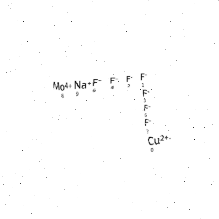 [Cu+2].[F-].[F-].[F-].[F-].[F-].[F-].[F-].[Mo+4].[Na+]